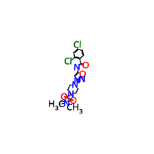 CN(C)S(=O)(=O)N1CCN([n+]2cc([N-]C(=O)c3ccc(Cl)cc3Cl)on2)CC1